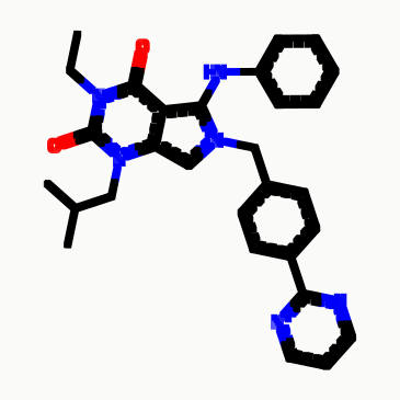 CCn1c(=O)c2c(Nc3ccccc3)n(Cc3ccc(-c4ncccn4)cc3)cc2n(CC(C)C)c1=O